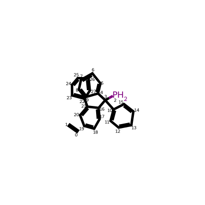 C=C.PC(c1ccccc1)(c1ccccc1)c1ccccc1-c1ccccc1